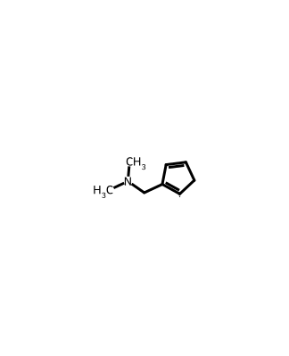 CN(C)CC1=[C]CC=C1